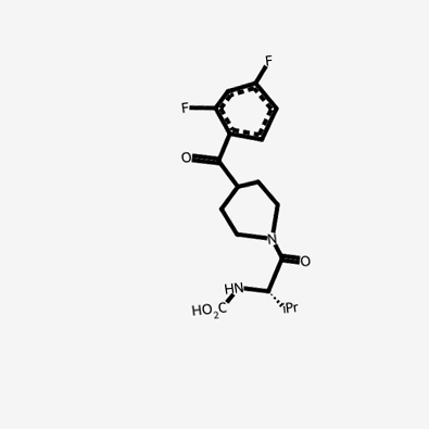 CC(C)[C@H](NC(=O)O)C(=O)N1CCC(C(=O)c2ccc(F)cc2F)CC1